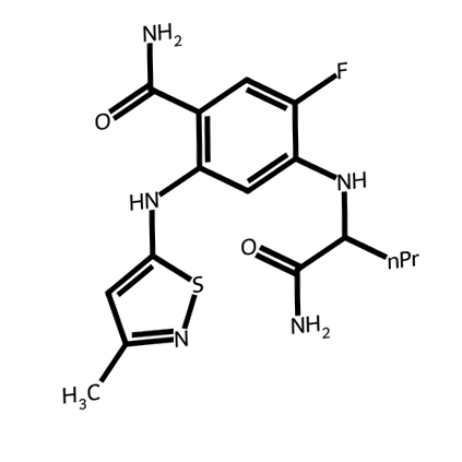 CCCC(Nc1cc(Nc2cc(C)ns2)c(C(N)=O)cc1F)C(N)=O